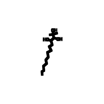 CCCCCCCCCCCC(O)C(O)C(C)(C)O